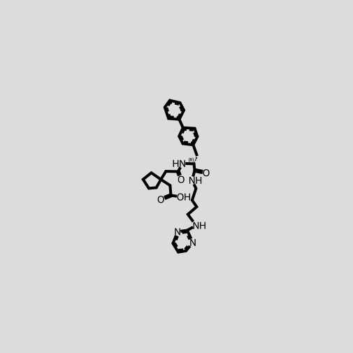 O=C(O)CC1(CC(=O)N[C@H](Cc2ccc(-c3ccccc3)cc2)C(=O)NCCCCNc2ncccn2)CCCC1